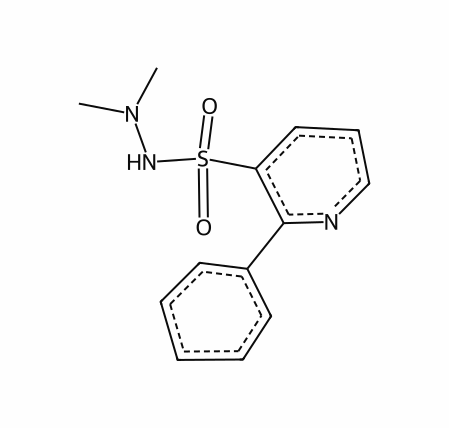 CN(C)NS(=O)(=O)c1cccnc1-c1ccccc1